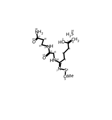 C=C(O)CCC/C(=N\SOC)NCC(=O)NCCC(N)=O.S